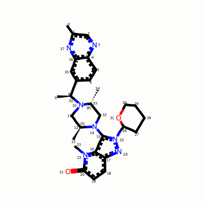 Cc1cnc2ccc([C@H](C)N3C[C@H](C)N(c4c5c(ccc(=O)n5C)nn4C4CCCCO4)C[C@H]3C)cc2n1